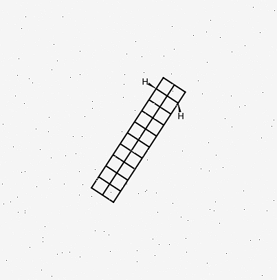 C1C2CC3C4C5C6C7C8C9C%10[C@@H]%11CC%12C[C@@H]%13C%14C%15C%16C%17C%18C%19C%20C1C23C%204C%195C%186C%177C%168C%159C%14%10C%12%13%11